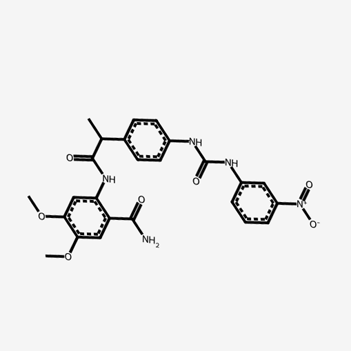 COc1cc(NC(=O)C(C)c2ccc(NC(=O)Nc3cccc([N+](=O)[O-])c3)cc2)c(C(N)=O)cc1OC